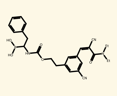 CCN(CC)C(=O)C(C#N)=Cc1cc(C#N)cc(CCOC(=O)NC(Cc2ccccc2)B(O)O)c1